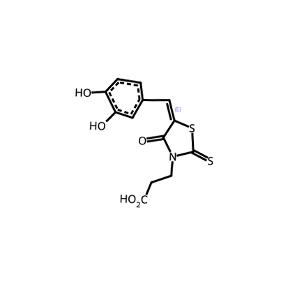 O=C(O)CCN1C(=O)/C(=C\c2ccc(O)c(O)c2)SC1=S